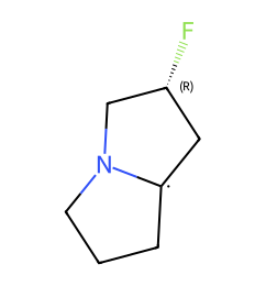 F[C@@H]1C[C]2CCCN2C1